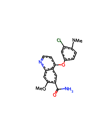 CNc1ccc(Oc2ccnc3cc(OC)c(C(N)=O)cc23)cc1Cl